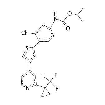 CC(C)OC(=O)Nc1ccc(-c2cc(-c3ccnc(C4(C(F)(F)F)CC4)c3)cs2)c(Cl)c1